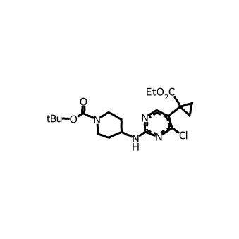 CCOC(=O)C1(c2cnc(NC3CCN(C(=O)OC(C)(C)C)CC3)nc2Cl)CC1